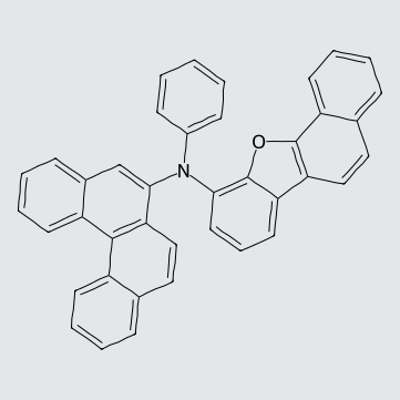 c1ccc(N(c2cc3ccccc3c3c2ccc2ccccc23)c2cccc3c2oc2c4ccccc4ccc32)cc1